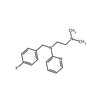 CN(C)CCN(Cc1ccc(F)cc1)c1ccccn1